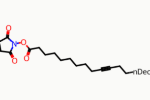 CCCCCCCCCCCCC#CCCCCCCCCC(=O)ON1C(=O)CCC1=O